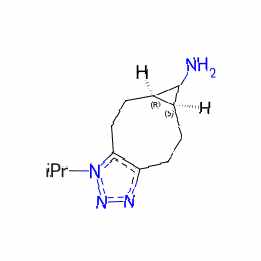 CC(C)n1nnc2c1CC[C@H]1C(N)[C@H]1CC2